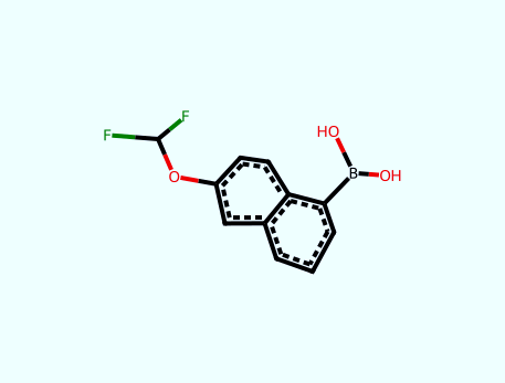 OB(O)c1cccc2cc(OC(F)F)ccc12